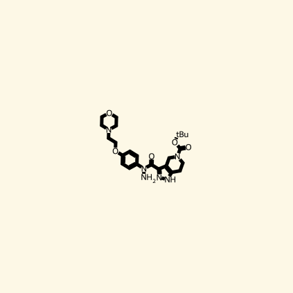 CC(C)(C)OC(=O)N1CCc2[nH]nc(C(=O)N(N)c3ccc(OCCN4CCOCC4)cc3)c2C1